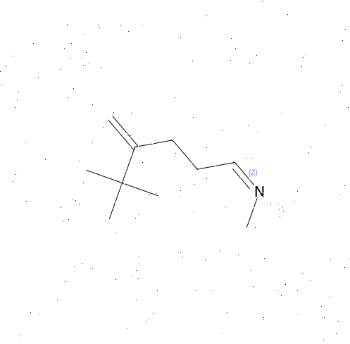 C=C(CC/C=N\C)C(C)(C)C